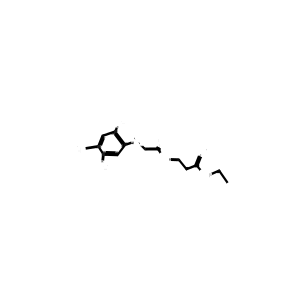 CCOC(=O)CCOC(=O)CNc1cc(Br)c(Br)cc1Br